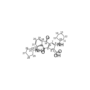 O=C(O)c1cc2c(cc1NC1CCCCC1)C(=O)c1cccc(NC3CCCCC3)c1C2=O